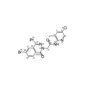 Cc1cc(Cl)cnc1NC(=O)Cn1nc(C(C)C)c2cc(Br)ccc2c1=O